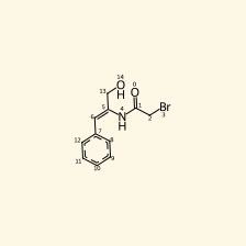 O=C(CBr)NC(=Cc1ccccc1)CO